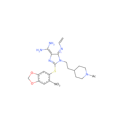 C=C/N=C1\C(=C(N)N)N=C(Sc2cc3c(cc2[N+](=O)[O-])OCO3)N1CCC1CCN(C(C)=O)CC1